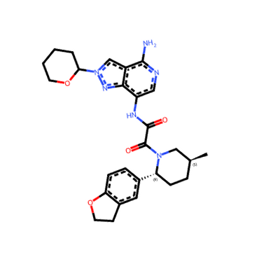 C[C@H]1CC[C@H](c2ccc3c(c2)CCO3)N(C(=O)C(=O)Nc2cnc(N)c3cn(C4CCCCO4)nc23)C1